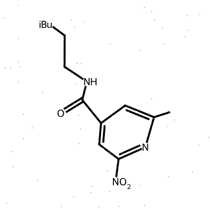 CCC(C)CCNC(=O)c1cc(C)nc([N+](=O)[O-])c1